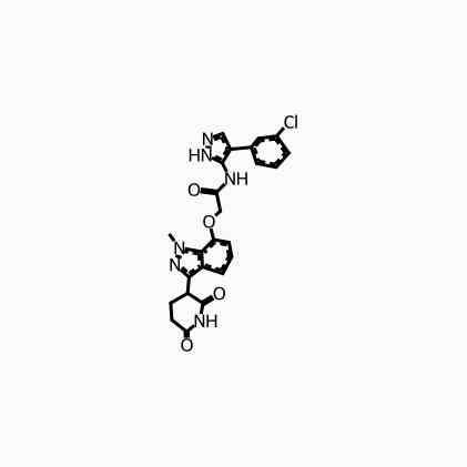 Cn1nc(C2CCC(=O)NC2=O)c2cccc(OCC(=O)Nc3[nH]ncc3-c3cccc(Cl)c3)c21